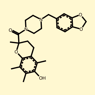 Cc1c(C)c2c(c(C)c1O)CCC(C)(C(=O)N1CCN(Cc3ccc4c(c3)OCO4)CC1)O2